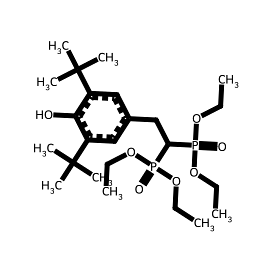 CCOP(=O)(OCC)C(Cc1cc(C(C)(C)C)c(O)c(C(C)(C)C)c1)P(=O)(OCC)OCC